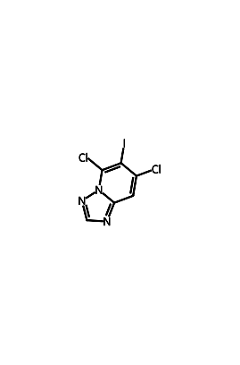 Clc1cc2ncnn2c(Cl)c1I